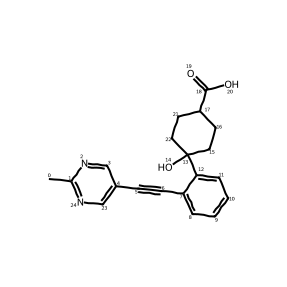 Cc1ncc(C#Cc2ccccc2C2(O)CCC(C(=O)O)CC2)cn1